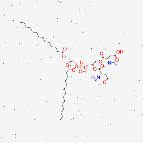 CCCCCCCCCCCCCC(=O)OC[C@H](COP(=O)(O)OCC(COC(=O)[C@@H](N)CC(=O)O)OC(=O)[C@@H](N)CC(C)=O)OC(=O)CCCCCCCCCCCCC